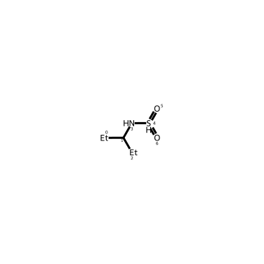 CCC(CC)N[SH](=O)=O